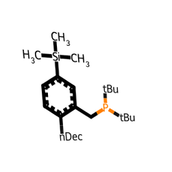 CCCCCCCCCCc1ccc([Si](C)(C)C)cc1CP(C(C)(C)C)C(C)(C)C